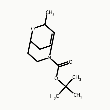 CC1C=C2CC(CCN2C(=O)OC(C)(C)C)O1